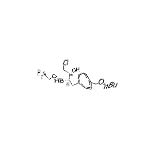 CCCCOc1ccc(C[C@H](BOCN)[C@@H](O)CCl)cc1